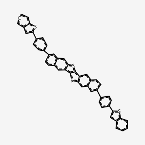 c1ccc2sc(-c3ccc(-c4ccc5cc6c(cc5c4)sc4c5cc7ccc(-c8ccc(-c9cc%10ccccc%10s9)cc8)cc7cc5sc64)cc3)cc2c1